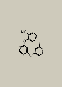 Cc1cccc(Oc2cc(Oc3ccccc3C#N)ncn2)c1